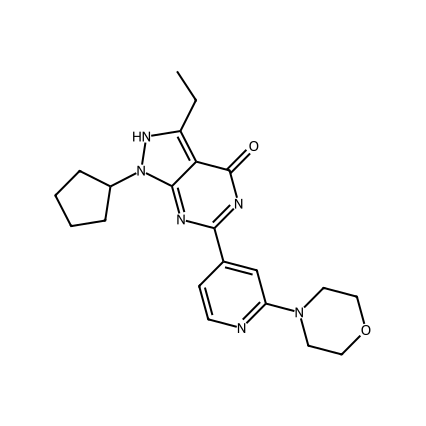 CCc1[nH]n(C2CCCC2)c2nc(-c3ccnc(N4CCOCC4)c3)nc(=O)c1-2